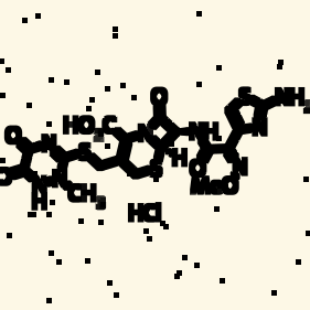 CO/N=C(\C(=O)N[C@@H]1C(=O)N2C(C(=O)O)=C(CSc3nc(=O)c(=O)[nH]n3C)CS[C@H]12)c1csc(N)n1.Cl